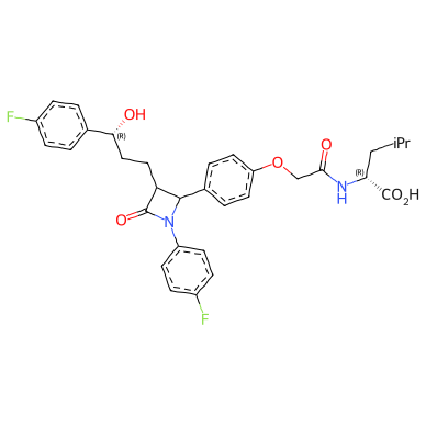 CC(C)C[C@@H](NC(=O)COc1ccc(C2C(CC[C@@H](O)c3ccc(F)cc3)C(=O)N2c2ccc(F)cc2)cc1)C(=O)O